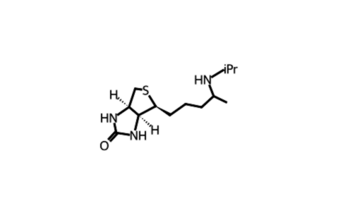 CC(C)NC(C)CCC[C@@H]1SC[C@@H]2NC(=O)N[C@@H]21